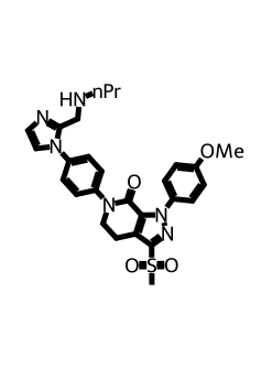 CCCNCc1nccn1-c1ccc(N2CCc3c(S(C)(=O)=O)nn(-c4ccc(OC)cc4)c3C2=O)cc1